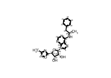 Cc1noc([C@H]2O[C@@H](n3cnc4c(N[C@H](C)Cc5ccccc5)ncnc43)[C@H](O)[C@@H]2O)n1